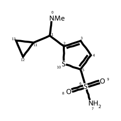 CNC(c1ccc(S(N)(=O)=O)s1)C1CC1